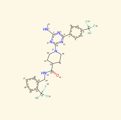 CNc1nc(-c2ccc(C(F)(F)F)cc2)nc(N2CCC(C(=O)NCc3ccccc3C(F)(F)F)CC2)n1